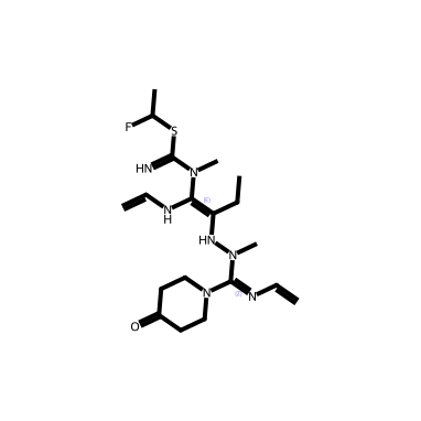 C=C/N=C(/N1CCC(=O)CC1)N(C)N/C(CC)=C(\NC=C)N(C)C(=N)SC(C)F